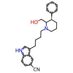 N#Cc1ccc2[nH]cc(CCCCN3CCC[C@H](c4ccccc4)C3CO)c2c1